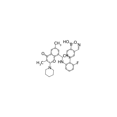 Cc1cc(C(C)Nc2cccc(F)c2-c2ccc3c(c2)C=NOB3O)c2oc(N3CCCCC3)c(C)c(=O)c2c1